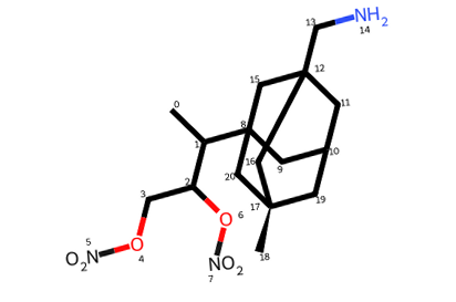 CC(C(CO[N+](=O)[O-])O[N+](=O)[O-])C12CC3CC(CN)(C1)C[C@](C)(C3)C2